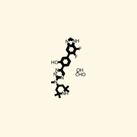 CN(c1ncc(-c2ccc(-c3cc4nc[nH]c4c(F)c3F)cc2O)nn1)C1CC(C)(C)NC(C)(C)C1.O=CO